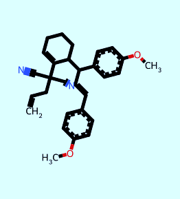 C=CCC(C#N)(C#N)C1=CCCCC1C(/C=C/c1ccc(OC)cc1)c1ccc(OC)cc1